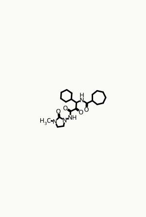 CN1CCN(NC(=O)C(=O)C(NC(=O)C2CCCCCC2)C2CCCCC2)C1=O